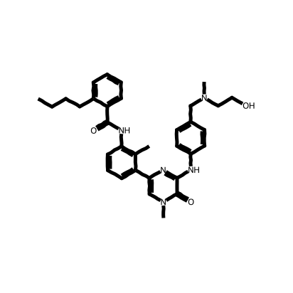 CCCCc1ccccc1C(=O)Nc1cccc(-c2cn(C)c(=O)c(Nc3ccc(CN(C)CCO)cc3)n2)c1C